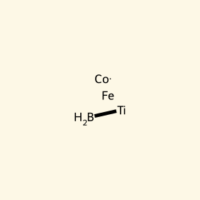 [BH2][Ti].[Co].[Fe]